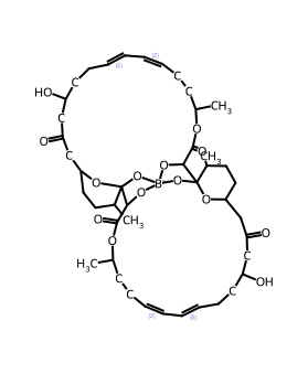 CC1CC/C=C\C=C\CCC(O)CC(=O)CC2CCC(C)C3(O2)O[B-]24OC(C(=O)O1)C1(OC(CCC1C)CC(=O)CC(O)CC/C=C/C=C\CCC(C)OC(=O)C3O2)O4